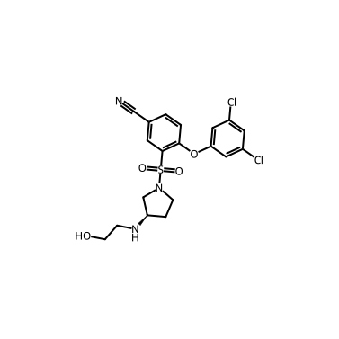 N#Cc1ccc(Oc2cc(Cl)cc(Cl)c2)c(S(=O)(=O)N2CC[C@@H](NCCO)C2)c1